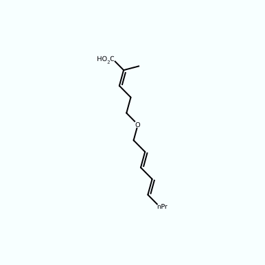 CCCC=CC=CCOCCC=C(C)C(=O)O